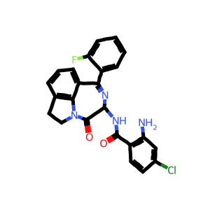 Nc1cc(Cl)ccc1C(=O)NC1N=C(c2ccccc2F)c2cccc3c2N(CC3)C1=O